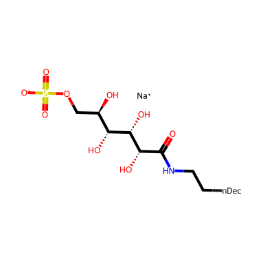 CCCCCCCCCCCCNC(=O)[C@H](O)[C@@H](O)[C@H](O)[C@H](O)COS(=O)(=O)[O-].[Na+]